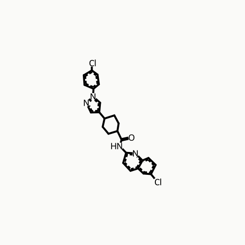 O=C(Nc1ccc2cc(Cl)ccc2n1)C1CCC(c2cnn(-c3ccc(Cl)cc3)c2)CC1